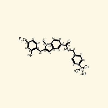 CCS(=O)(=O)c1ccc(CNC(=O)c2ccc3c(c2)cc(Cc2ccc(C(F)(F)F)cc2F)n3C)cc1